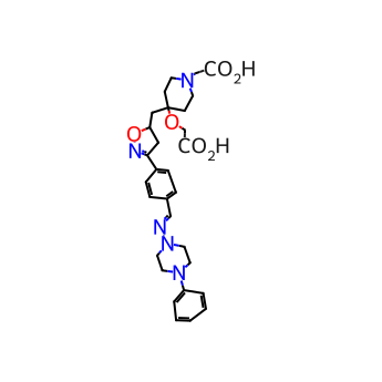 O=C(O)COC1(CC2CC(c3ccc(C=NN4CCN(c5ccccc5)CC4)cc3)=NO2)CCN(CC(=O)O)CC1